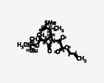 C=CCOC(=O)C(=O)N1C(=O)[C@H]([C@@H](C)O[Si](C)(C)C(C)(C)C)[C@H]1[C@@H](C)C(=S)SC